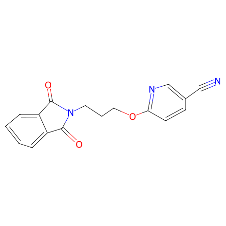 N#Cc1ccc(OCCCN2C(=O)c3ccccc3C2=O)nc1